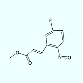 COC(=O)/C=C/c1cc(F)ccc1N=O